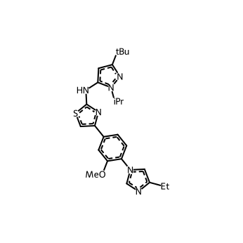 CCc1cn(-c2ccc(-c3csc(Nc4cc(C(C)(C)C)nn4C(C)C)n3)cc2OC)cn1